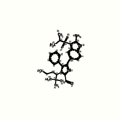 CCOC(n1c(C=O)nc(-c2ccc3nc(N)n(S(=O)(=O)C(C)C)c3c2)c1-c1ccccc1)[Si](C)(C)C